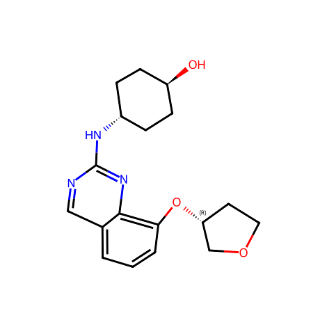 O[C@H]1CC[C@H](Nc2ncc3cccc(O[C@@H]4CCOC4)c3n2)CC1